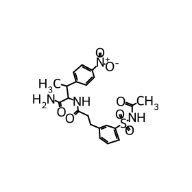 CC(=O)NS(=O)(=O)c1cccc(CCC(=O)NC(C(N)=O)C(C)c2ccc([N+](=O)[O-])cc2)c1